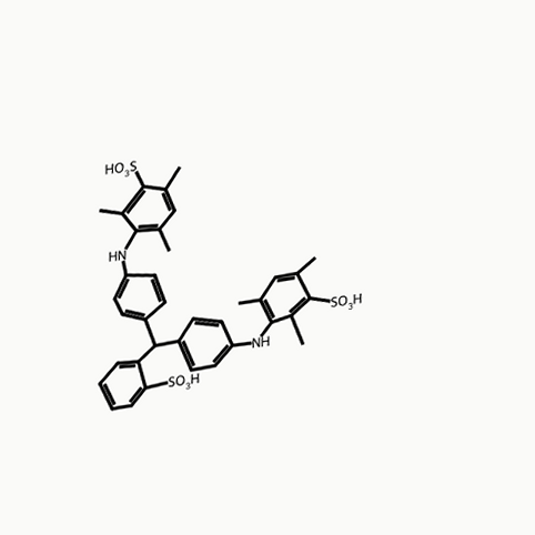 Cc1cc(C)c(S(=O)(=O)O)c(C)c1Nc1ccc(C(c2ccc(Nc3c(C)cc(C)c(S(=O)(=O)O)c3C)cc2)c2ccccc2S(=O)(=O)O)cc1